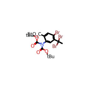 CCOC(=O)c1cc(Br)c(C(C)(Br)Br)cc1N(C(=O)OC(C)(C)C)C(=O)OC(C)(C)C